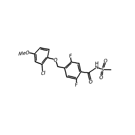 COc1ccc(OCc2cc(F)c(C(=O)NS(C)(=O)=O)cc2F)c(Cl)c1